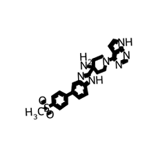 CS(=O)(=O)c1ccc(-c2ccc3[nH]c(C4(N)CCN(c5ncnc6[nH]ccc56)CC4)nc3c2)cc1